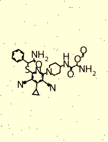 N#Cc1c(SC(C(N)=O)c2ccccc2)nc(N2CCC(NC(=O)C(N)OC=O)CC2)c(C#N)c1C1CC1